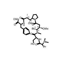 CC[C@H](C)[C@@H]([C@@H](CC(=O)N1CCCC1[C@H](OC)[C@@H](C)C(=O)NC(Cc1ccccc1)C(=O)OC)OC)N(C)C(=O)C(CO)NC(=O)C(C(C)C)N(C)C